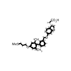 CSCCCOc1cc(C)c(-c2cccc(COc3cc4c(cn3)[C@H](CC(=O)O)CS4)c2)c(C)c1